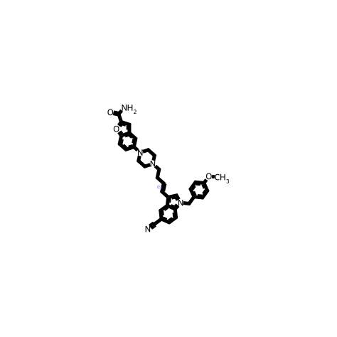 COc1ccc(Cn2cc(/C=C/CCN3CCN(c4ccc5oc(C(N)=O)cc5c4)CC3)c3cc(C#N)ccc32)cc1